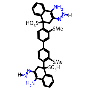 [H]/N=N/C1=C(N)c2ccccc2C(c2ccc(-c3ccc(C4(S(=O)(=O)O)CC(/N=N/[H])=C(N)c5ccccc54)c(SC)c3)cc2SC)(S(=O)(=O)O)C1